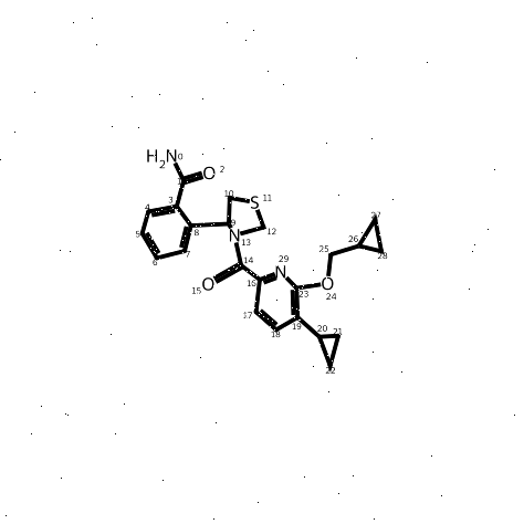 NC(=O)c1ccccc1C1CSCN1C(=O)c1ccc(C2CC2)c(OCC2CC2)n1